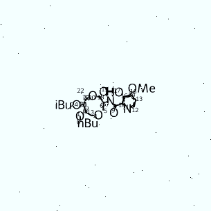 CCCCO[C@H]1COC[C@H](NC(=O)c2nccc(OC)c2O)C(=O)O[C@@H](C)[C@@H]1OCC(C)C